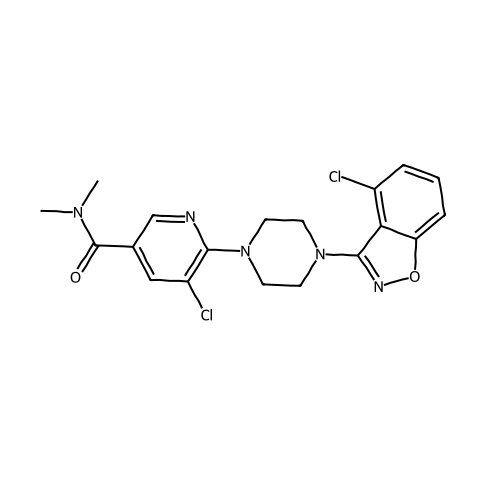 CN(C)C(=O)c1cnc(N2CCN(c3noc4cccc(Cl)c34)CC2)c(Cl)c1